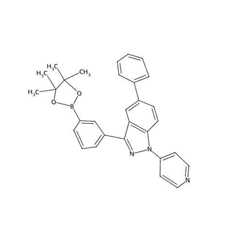 CC1(C)OB(c2cccc(-c3nn(-c4ccncc4)c4ccc(-c5ccccc5)cc34)c2)OC1(C)C